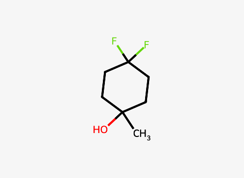 CC1(O)CCC(F)(F)CC1